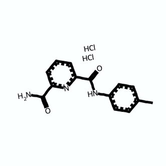 Cc1ccc(NC(=O)c2cccc(C(N)=O)n2)cc1.Cl.Cl